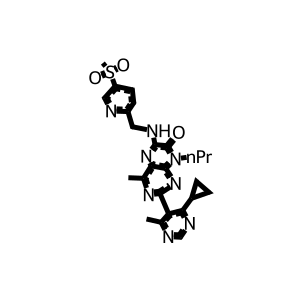 CCCn1c(=O)c(NCc2ccc(S(C)(=O)=O)cn2)nc2c(C)nc(-c3c(C)ncnc3C3CC3)nc21